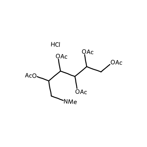 CNCC(OC(C)=O)C(OC(C)=O)C(OC(C)=O)C(COC(C)=O)OC(C)=O.Cl